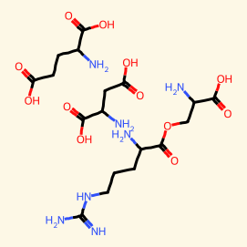 N=C(N)NCCCC(N)C(=O)OCC(N)C(=O)O.NC(CC(=O)O)C(=O)O.NC(CCC(=O)O)C(=O)O